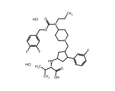 CCCN(C(=O)OCc1ccc(F)c(F)c1)C1CCN(CC2CC(N[C@@H](C(=O)O)C(C)C)CC2c2cccc(F)c2)CC1.Cl.Cl